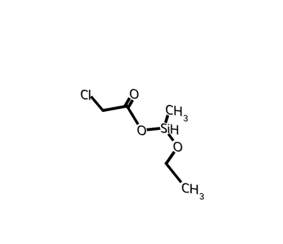 CCO[SiH](C)OC(=O)CCl